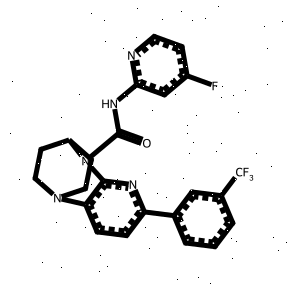 O=C(Nc1cc(F)ccn1)N1c2nc(-c3cccc(C(F)(F)F)c3)ccc2N2CCC1CC2